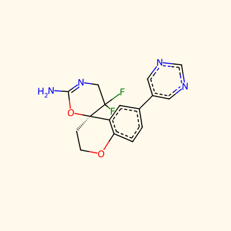 NC1=NCC(F)(F)[C@]2(CCOc3ccc(-c4cncnc4)cc32)O1